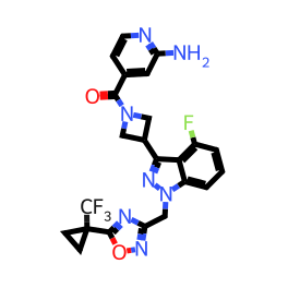 Nc1cc(C(=O)N2CC(c3nn(Cc4noc(C5(C(F)(F)F)CC5)n4)c4cccc(F)c34)C2)ccn1